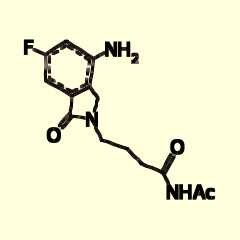 CC(=O)NC(=O)CCCN1Cc2c(N)cc(F)cc2C1=O